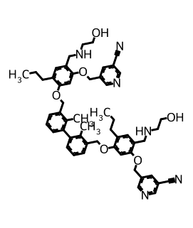 CCCc1cc(CNCCO)c(OCc2cncc(C#N)c2)cc1OCc1cccc(-c2cccc(COc3cc(OCc4cncc(C#N)c4)c(CNCCO)cc3CCC)c2C)c1C